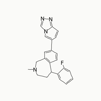 CN1CCC(c2ccccc2F)c2ccc(-c3ccc4nncn4c3)cc2C1